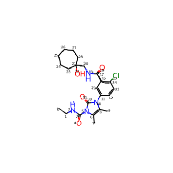 CCNC(=O)n1c(C)c(C)n(-c2ccc(Cl)c(C(=O)NCC3(O)CCCCCC3)c2)c1=O